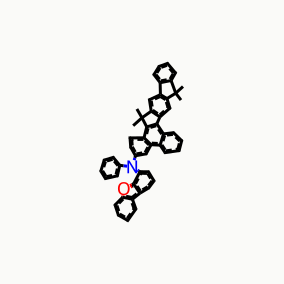 CC1(C)c2ccccc2-c2cc3c(cc21)-c1c(c2ccc(N(c4ccccc4)c4cccc5c4oc4ccccc45)cc2c2ccccc12)C3(C)C